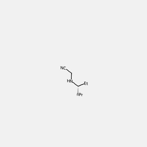 CCC[C@@H](CC)NCC#N